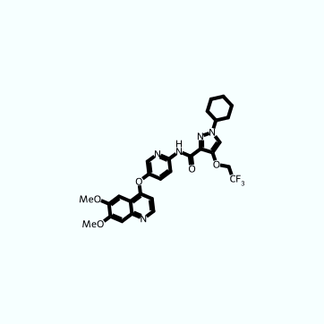 COc1cc2nccc(Oc3ccc(NC(=O)c4nn(C5CCCCC5)cc4OCC(F)(F)F)nc3)c2cc1OC